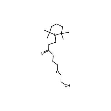 CC1(C)CCCC(C)(C)N1CCC(=O)SCCOCCO